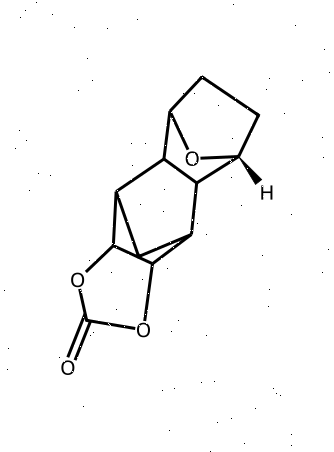 O=C1OC2C3CC(C2O1)C1C3C2CC[C@H]1O2